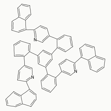 c1ccc(-c2cc(-c3ccccc3-c3ccc(-c4cccc5ccccc45)nc3)cc(-c3ccccc3-c3ccc(-c4cccc5ccccc45)nc3)c2)c(-c2ccc(-c3cccc4ccccc34)nc2)c1